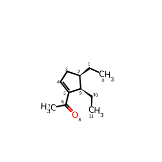 CC[C@@H]1CC=C(C(C)=O)[C@@H]1CC